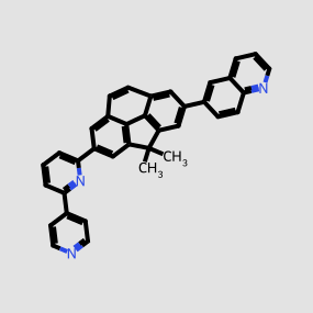 CC1(C)c2cc(-c3ccc4ncccc4c3)cc3ccc4cc(-c5cccc(-c6ccncc6)n5)cc1c4c23